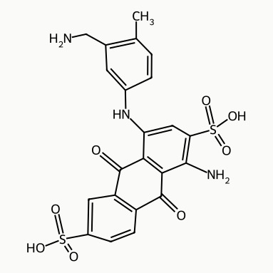 Cc1ccc(Nc2cc(S(=O)(=O)O)c(N)c3c2C(=O)c2cc(S(=O)(=O)O)ccc2C3=O)cc1CN